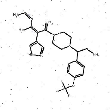 C=C(/C(=C(N)\N=C/N)c1cn[nH]c1)N1CCN(C(CN)c2ccc(OC(F)(F)F)cc2)CC1